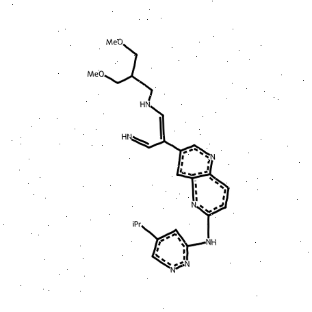 COCC(CN/C=C(\C=N)c1cnc2ccc(Nc3cc(C(C)C)cnn3)nc2c1)COC